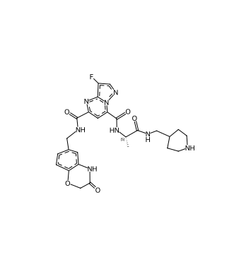 C[C@H](NC(=O)c1cc(C(=O)NCc2ccc3c(c2)NC(=O)CO3)nc2c(F)cnn12)C(=O)NCC1CCNCC1